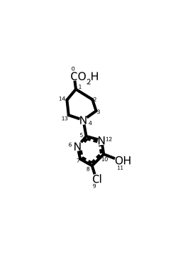 O=C(O)C1CCN(c2ncc(Cl)c(O)n2)CC1